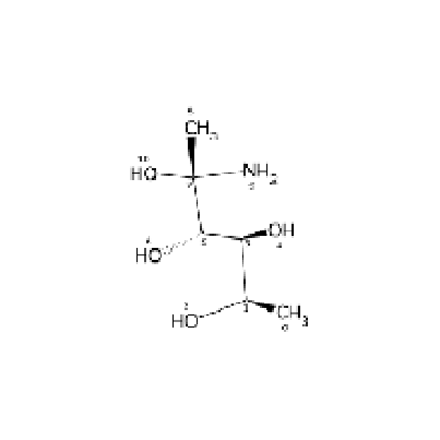 C[C@@H](O)[C@H](O)[C@H](O)[C@@](C)(N)O